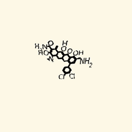 C=C1C(C(N)=O)=C(O)[C@H](N(C)C)C2CC3Cc4c(-c5ccc(Cl)c(Cl)c5)cc(CN)c(O)c4C(=O)C3=C(O)C12